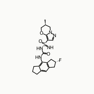 C[C@@H]1COc2c([S@@](=N)(=O)NC(=O)Nc3c4c(cc5c3C[C@H](F)C5)CCC4)cnn2C1